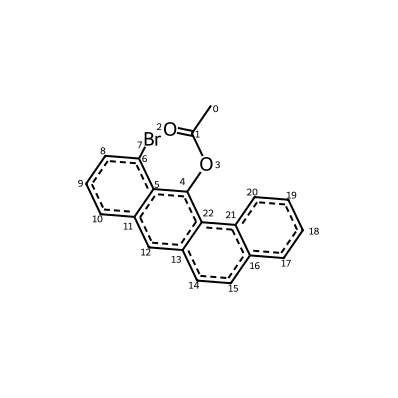 CC(=O)Oc1c2c(Br)cccc2cc2ccc3ccccc3c12